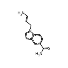 NC=CCn1ccc2cc(C(N)=S)ccc21